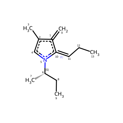 C=c1c(C)cn([C@@H](C)CC)/c1=C/CC